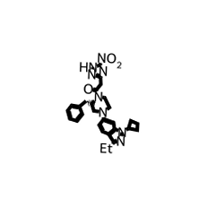 CCc1nn(C2CCC2)c2cc(N3CCN(C(=O)Cc4n[nH]c([N+](=O)[O-])n4)[C@@H](Cc4ccccc4)C3)ccc12